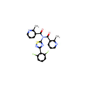 Cc1ncccc1C(=O)N(C(=O)c1cccnc1C)c1nc(-c2c(F)cccc2F)ns1